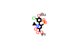 CCC(C)Oc1cc2c(cc1Cl)-c1c(cc(C(=O)OC(C)C)c(=O)n1C1CC1)CS2(=O)=O